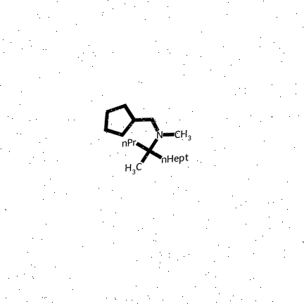 CCCCCCCC(C)(CCC)N(C)CC1CCCC1